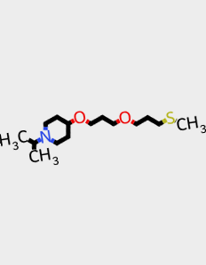 CSCCCOCCCOC1CCN(C(C)C)CC1